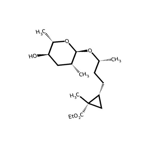 CCOC(=O)[C@@]1(C)C[C@H]1CC[C@@H](C)O[C@@H]1O[C@@H](C)[C@H](O)C[C@H]1C